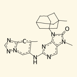 Cc1cc2ncnn2cc1Nc1ncc2c(n1)n(C13CC4CC(CC(C)(C4)C1)C3)c(=O)n2C